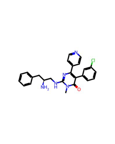 Cn1c(NC[C@@H](N)Cc2ccccc2)nc(-c2ccncc2)c(-c2cccc(Cl)c2)c1=O